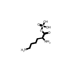 NCCCCC(N)C(=O)OP(=O)(O)O